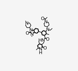 CCN(c1cc(-c2ccc3c(c2)n(C)c(=O)n3C2CCN(C)CC2)cc(C(=O)NCc2c(C)cc(C)[nH]c2=O)c1C)C1CCN(C(C)=O)CC1